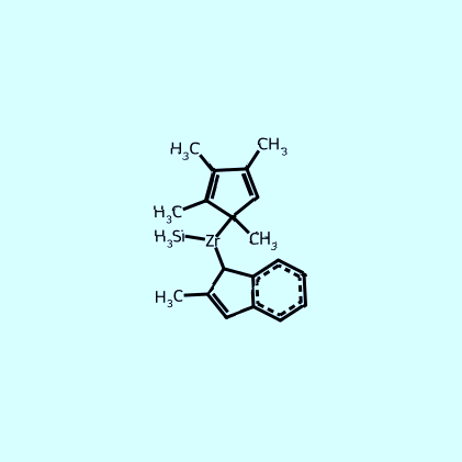 CC1=C[C](C)([Zr]([SiH3])[CH]2C(C)=Cc3ccccc32)C(C)=C1C